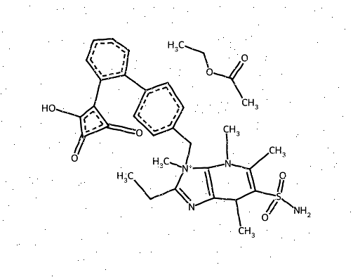 CCC1=NC2=C(N(C)C(C)=C(S(N)(=O)=O)C2C)[N+]1(C)Cc1ccc(-c2ccccc2-c2c(O)c(=O)c2=O)cc1.CCOC(C)=O